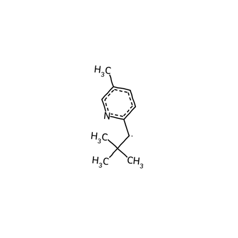 Cc1ccc([CH]C(C)(C)C)nc1